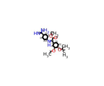 CCOc1cc(C(Nc2ccc(C(=N)N)cc2)C(=O)OC)ccc1OC(C)C